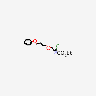 CCOC(=O)/C(Cl)=C/COCCCCOc1ccccc1